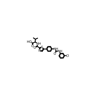 CC(C)C(NC(=O)c1ncc(-c2ccc(NC(=O)Nc3cccc(Cl)c3)cc2)s1)C(=O)O